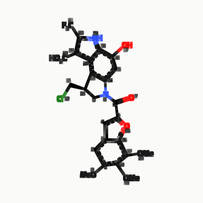 COc1cc2cc(C(=O)N3C[C@@H](CCl)c4c3cc(O)c3[nH]c(C(F)(F)F)c(C(=O)O)c43)oc2c(OC)c1OC